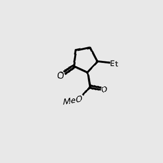 CCC1CCC(=O)C1C(=O)OC